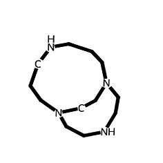 C1CNCCCN2CCNCCN(C1)CC2